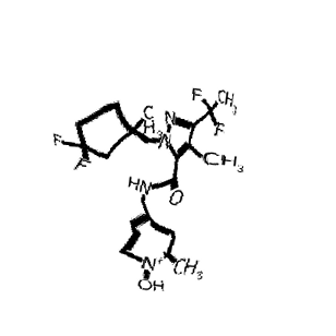 Cc1c(C(C)(F)F)nn(CC2(C)CCC(F)(F)C2)c1C(=O)Nc1cc[n+](O)c(C)c1